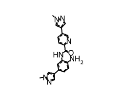 Cn1cc(-c2ccc(C(=O)Nc3cc(-c4cnn(C)c4)ccc3N)nc2)cn1